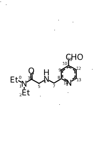 CCN(CC)C(=O)CNCc1cc(C=O)ccn1